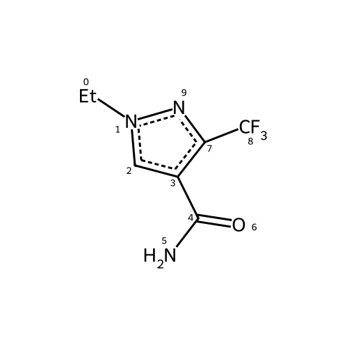 CCn1cc(C(N)=O)c(C(F)(F)F)n1